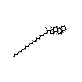 CCCCCCCCCCCCCCCCCCC[C@@H](C)[C@@]1(N)CC[C@H]2C3CC=C4C[C@@H](C)CC[C@]4(C)[C@H]3CC[C@@]21C